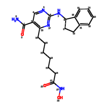 NC(=O)c1cnc(NC2CCc3ccccc32)nc1CCCCCCC(=O)NO